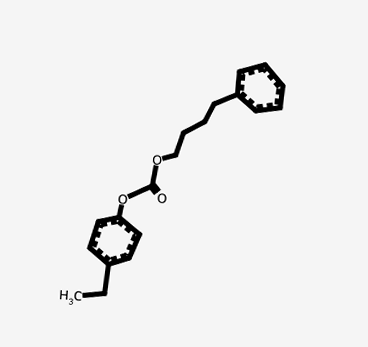 CCc1ccc(OC(=O)OCCCCc2ccccc2)cc1